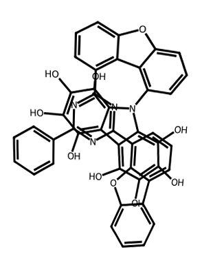 Oc1c(O)c(O)c2c(c1O)c1c(O)c(O)c(O)c(O)c1n2-c1cccc2oc3cccc(-c4nc(-c5ccccc5)nc(-c5cccc6c5oc5ccccc56)n4)c3c12